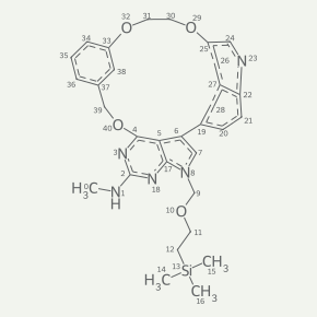 CNc1nc2c3c(cn(COCC[Si](C)(C)C)c3n1)-c1ccc3ncc(cc3c1)OCCOc1cccc(c1)CO2